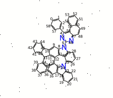 c1ccc(-c2nc(-n3c4cc5c(c6c7cccc8c9ccccc9n(c9cccc3c9c64)c87)C(c3ccccc3)c3ccccc3-5)nc3ccc4ccccc4c23)cc1